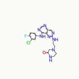 O=C1CN(CCNc2ncc3ncnc(Nc4ccc(F)c(Cl)c4)c3n2)CCN1